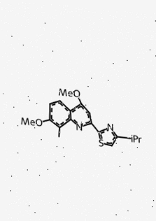 COc1ccc2c(OC)cc(-c3nc(C(C)C)cs3)nc2c1C